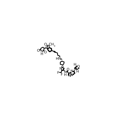 Cn1c(=O)n(C2CCC(=O)NC2=O)c2ccc(C#CCCCNC[C@H]3CC[C@H](n4cc(NC(=O)c5cnn6ccc(N7C[C@H]8C[C@@H]7CO8)nc56)c(C(F)F)n4)CC3)cc21